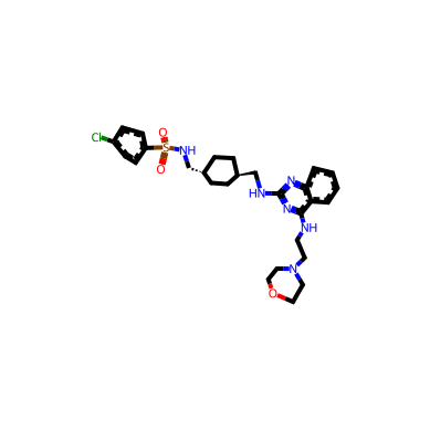 O=S(=O)(NC[C@H]1CC[C@H](CNc2nc(NCCN3CCOCC3)c3ccccc3n2)CC1)c1ccc(Cl)cc1